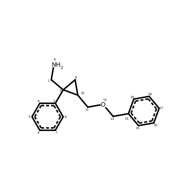 NCC1(c2ccccc2)CC1COCc1ccccc1